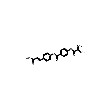 C=C(C)C(=O)Oc1ccc(C(=O)Oc2ccc(/C=C/C(=O)OC)cc2)cc1